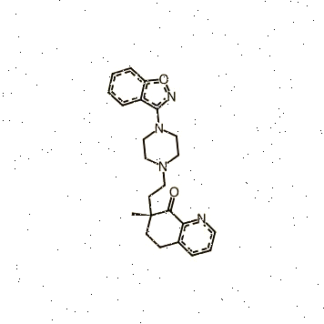 C[C@]1(CCN2CCN(c3noc4ccccc34)CC2)CCc2cccnc2C1=O